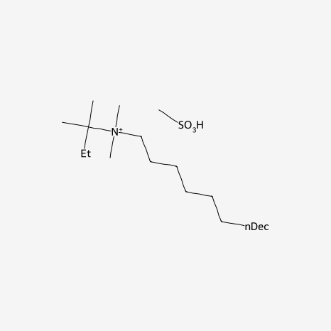 CCCCCCCCCCCCCCCC[N+](C)(C)C(C)(C)CC.CS(=O)(=O)O